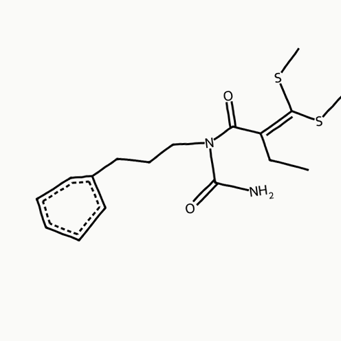 CCC(C(=O)N(CCCc1ccccc1)C(N)=O)=C(SC)SC